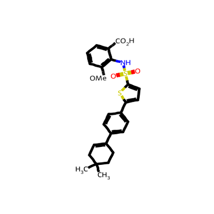 COc1cccc(C(=O)O)c1NS(=O)(=O)c1ccc(-c2ccc(C3=CCC(C)(C)CC3)cc2)s1